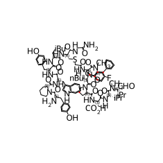 CCCC[C@@H](C(=O)N1CCC[C@@H]1C(=O)N[C@@H](CC(=O)O)C(=O)N[C@H](C(=O)N(C)[C@H](C=O)C(C)C)C(C)C)N(C)C(=O)[C@H](Cc1ccccc1)N(C)C(=O)[C@H](Cc1ccc(F)cc1)NC(=O)CSC[C@H](NC(=O)[C@H](CC(C)CC)NC(=O)[C@H](Cc1ccc(O)cc1)NC(=O)[C@H](Cc1c[nH]c2ccccc12)NC(=O)[C@H]1CCCCN1C(=O)[C@@H](N)Cc1ccc(O)cc1)C(=O)NCC(N)=O